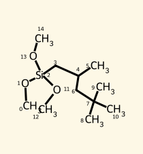 CO[Si](CC(C)CC(C)(C)C)(OC)OC